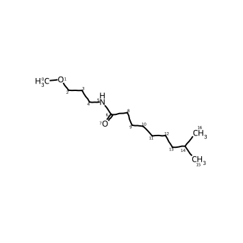 COCCCNC(=O)CCCCCCC(C)C